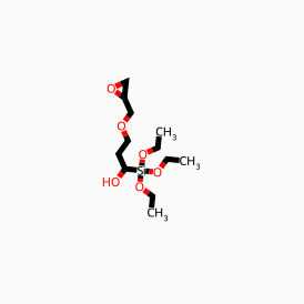 CCO[Si](OCC)(OCC)C(O)CCOCC1CO1